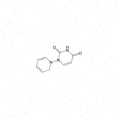 O=c1ccn(N2C=CC=CC2)c(=O)[nH]1